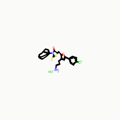 Cl.NCCCc1cc(-c2ccc(Cl)cc2)oc1/C=C1\SC(=S)N(C2C3CC4CC(C3)CC2C4)C1=O